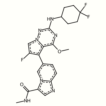 CNC(=O)c1cnc2ccc(-c3c(F)cn4nc(NC5CCC(F)(F)CC5)nc(OC)c34)cn12